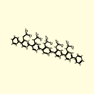 CCC(CC)Cc1nc(-c2cnc(-c3cnc(-c4cnc(-c5cnc(-c6ccccc6)nc5CC(CC)CC)nc4CC(CC)CC)nc3CC(CC)CC)nc2CC(CC)CC)ncc1-c1ccccc1